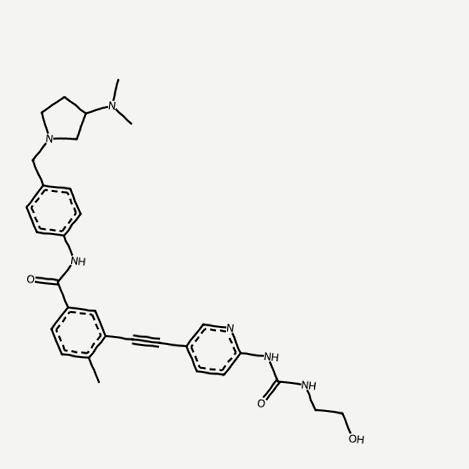 Cc1ccc(C(=O)Nc2ccc(CN3CCC(N(C)C)C3)cc2)cc1C#Cc1ccc(NC(=O)NCCO)nc1